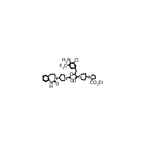 CCOC(=O)C1CCCN1C1CCN(C(=O)C(Cc2cc(Cl)c(N)c(C(F)(F)F)c2)OC(=O)N2CCC(N3CCc4ccccc4NC3=O)CC2)CC1